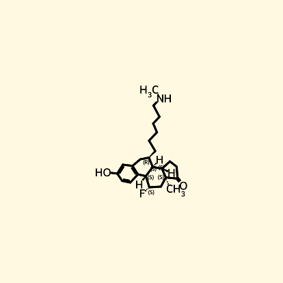 CNCCCCCC[C@@H]1Cc2cc(O)ccc2[C@@H]2[C@@H]1[C@@H]1CCC(=O)[C@@]1(C)C[C@@H]2F